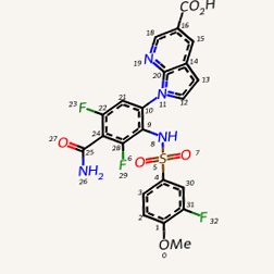 COc1ccc(S(=O)(=O)Nc2c(-n3ccc4cc(C(=O)O)cnc43)cc(F)c(C(N)=O)c2F)cc1F